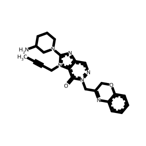 CC#CCn1c(N2CCCC(N)C2)nc2cnn(CC3=Nc4ccccc4OC3)c(=O)c21